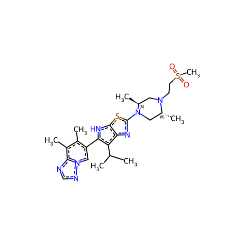 Cc1c(-c2[nH]c3sc(N4C[C@@H](C)N(CCS(C)(=O)=O)C[C@@H]4C)nc3c2C(C)C)cn2ncnc2c1C